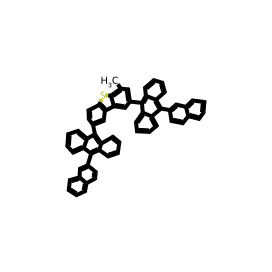 Cc1cc(-c2c3ccccc3c(-c3ccc4ccccc4c3)c3ccccc23)cc2c1sc1ccc(-c3c4ccccc4c(-c4ccc5ccccc5c4)c4ccccc34)cc12